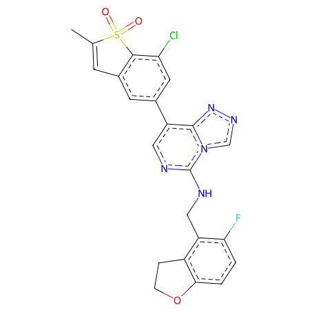 CC1=Cc2cc(-c3cnc(NCc4c(F)ccc5c4CCO5)n4cnnc34)cc(Cl)c2S1(=O)=O